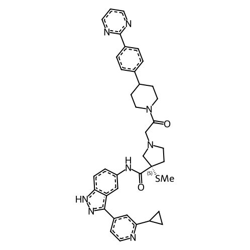 CS[C@@]1(C(=O)Nc2ccc3[nH]nc(-c4ccnc(C5CC5)c4)c3c2)CCN(CC(=O)N2CCC(c3ccc(-c4ncccn4)cc3)CC2)C1